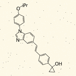 CC(C)Oc1ccc(-n2cnc3cc(C=Cc4ccc(C5(O)CC5)cc4)ccc32)cc1